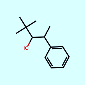 CC(c1ccccc1)C(O)C(C)(C)C